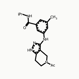 CC(=O)N1CCc2[nH]nc(Nc3cc(C)cc(C(=O)NC(C)C)c3)c2C1